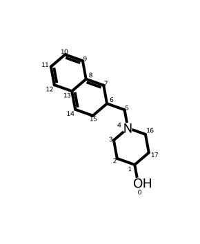 OC1CCN(CC2C=c3ccccc3=CC2)CC1